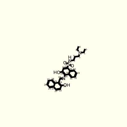 CCN(CC)CCCNS(=O)(=O)c1cc(O)c(N=Cc2c(O)ccc3ccccc23)c2ccccc12